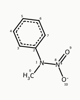 CN(c1ccccc1)[N+](=O)[O-]